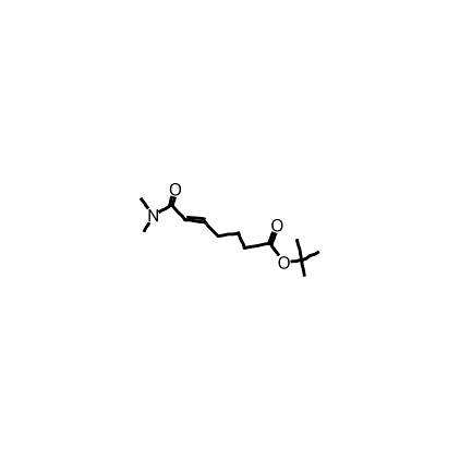 CN(C)C(=O)C=CCCCC(=O)OC(C)(C)C